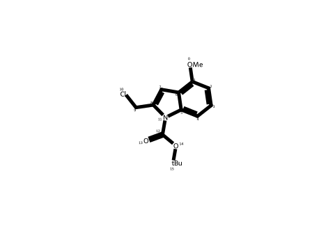 COc1cccc2c1cc(CCl)n2C(=O)OC(C)(C)C